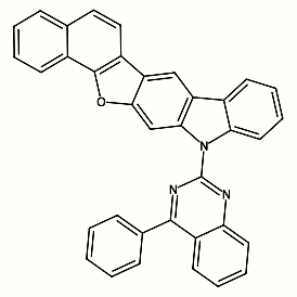 c1ccc(-c2nc(-n3c4ccccc4c4cc5c(cc43)oc3c4ccccc4ccc53)nc3ccccc23)cc1